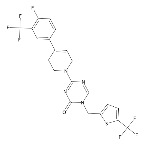 O=c1nc(N2CC=C(c3ccc(F)c(C(F)(F)F)c3)CC2)ncn1Cc1ccc(C(F)(F)F)s1